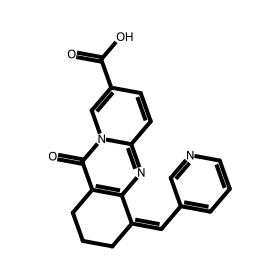 O=C(O)c1ccc2nc3c(c(=O)n2c1)CCC/C3=C/c1cccnc1